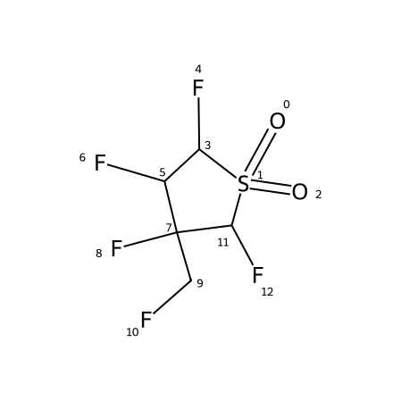 O=S1(=O)C(F)C(F)C(F)(CF)C1F